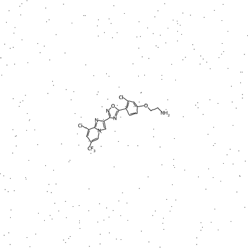 NCCOc1ccc(-c2nc(-c3cn4cc(C(F)(F)F)cc(Cl)c4n3)no2)c(Cl)c1